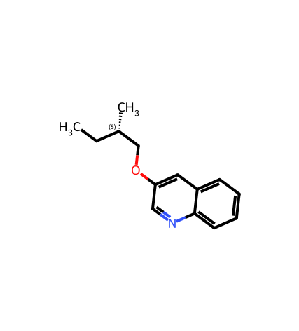 CC[C@H](C)COc1cnc2ccccc2c1